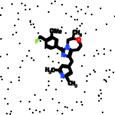 COc1cc(-c2nc(Cc3cc(C)nc(C)c3)c3n2C[C@@H](C)OCC3)ccc1CF